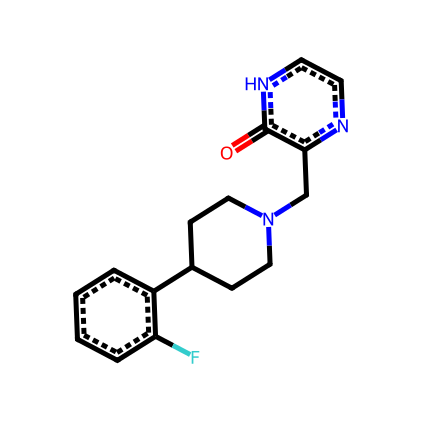 O=c1[nH]ccnc1CN1CCC(c2ccccc2F)CC1